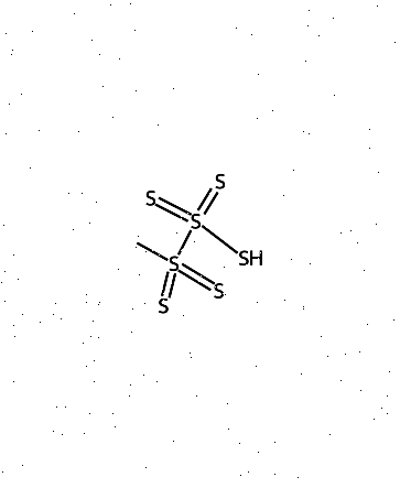 CS(=S)(=S)S(=S)(=S)S